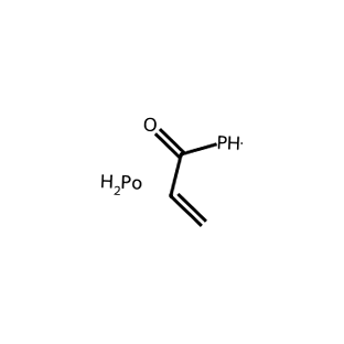 C=CC(=O)[PH].[PoH2]